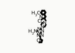 Cc1cccc2cc(CN3CCN(c4nc(N)n5nc(-c6ccco6)nc5n4)CC3)c(Cl)nc12